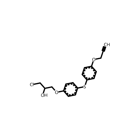 C#CCOc1ccc(Sc2ccc(OCC(O)CCl)cc2)cc1